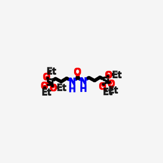 CCO[Si](CCCNC(=O)NCCC[Si](OCC)(OCC)OCC)(OCC)OCC